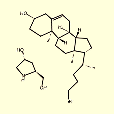 CC(C)CCC[C@@H](C)[C@H]1CC[C@H]2[C@@H]3CC=C4C[C@@H](O)CC[C@]4(C)[C@H]3CC[C@]12C.OC[C@@H]1C[C@@H](O)CN1